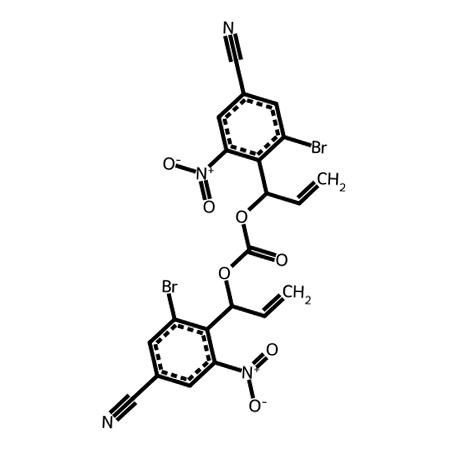 C=CC(OC(=O)OC(C=C)c1c(Br)cc(C#N)cc1[N+](=O)[O-])c1c(Br)cc(C#N)cc1[N+](=O)[O-]